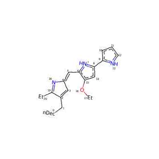 CCCCCCCCCCCC1=CC(=Cc2[nH]c(-c3ccc[nH]3)cc2OCC)N=C1CC